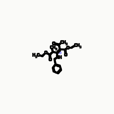 CCOC(=O)/C(C(C)=O)=C(\NCc1ccccc1)C(C)C(=O)OCC